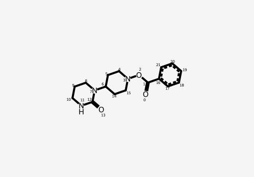 O=C(ON1CCC(N2CCCNC2=O)CC1)c1ccccc1